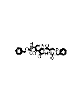 CC(C)CC(NC(=O)OCc1ccccc1)C(=O)C1CN(C(=O)C(CC(C)C)NC(=O)OCc2ccccc2)CC1=O